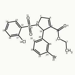 CCOC(=O)C1=CCN(S(=O)(=O)c2ccccc2Cl)C1c1cccc(Br)c1